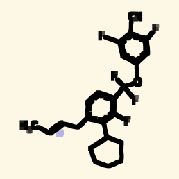 C/C=C/Cc1ccc(C(F)(F)Oc2cc(F)c(C#N)c(F)c2)c(F)c1C1CCCCC1